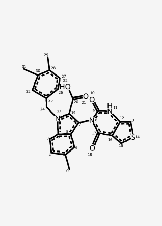 Cc1ccc2c(c1)c(-n1c(=O)[nH]c3cscc3c1=O)c(C(=O)O)n2Cc1ccc(C)c(C)c1